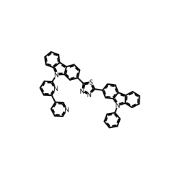 c1ccc(-n2c3ccccc3c3ccc(-c4nnc(-c5ccc6c7ccccc7n(-c7cccc(-c8cccnc8)n7)c6c5)s4)cc32)cc1